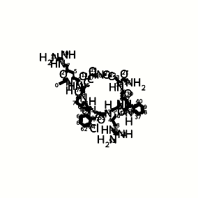 CC(=O)N[C@@H](CCCNC(=N)N)C(=O)N[C@H]1CCC(=O)NCCC[C@@H](C(N)=O)NC(=O)C(Cc2c[nH]c3ccccc23)NC(=O)[C@H](CCCNC(=N)N)NC(=O)[C@@H](Cc2ccccc2Cl)NC(=O)[C@@H]2CCCN2C1=O